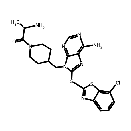 C[C@@H](N)C(=O)N1CCC(Cn2c(Sc3nc4cccc(Cl)c4s3)nc3c(N)ncnc32)CC1